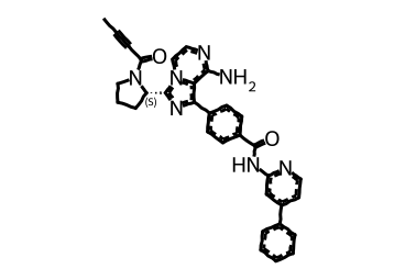 CC#CC(=O)N1CCC[C@H]1c1nc(-c2ccc(C(=O)Nc3cc(-c4ccccc4)ccn3)cc2)c2c(N)nccn12